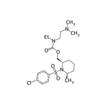 CCN(CCN(C)C)C(=O)OC[C@H]1CCC[C@@H](C)N1S(=O)(=O)c1ccc(Cl)cc1